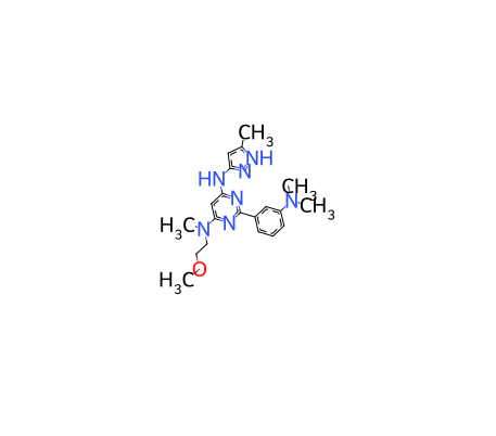 COCCN(C)c1cc(Nc2cc(C)[nH]n2)nc(-c2cccc(N(C)C)c2)n1